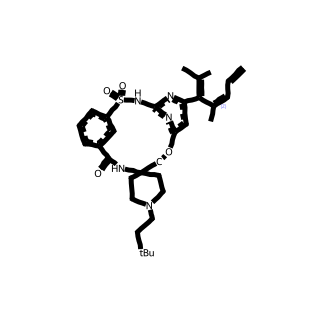 C=C/C=C(/C)C(=C(C)C)c1cc2nc(n1)NS(=O)(=O)c1cccc(c1)C(=O)NC1(CCN(CCC(C)(C)C)CC1)CO2